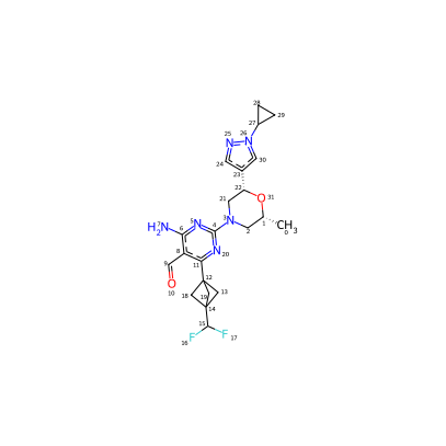 C[C@@H]1CN(c2nc(N)c(C=O)c(C34CC(C(F)F)(C3)C4)n2)C[C@H](c2cnn(C3CC3)c2)O1